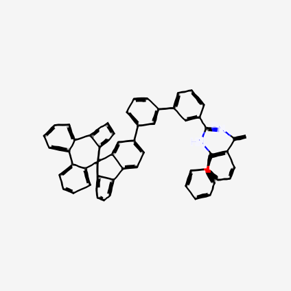 C=C(/N=C(\NC(C)c1ccccc1)c1cccc(-c2cccc(-c3ccc4c(c3)C3(c5ccccc5-c5ccccc5-c5ccccc53)c3ccccc3-4)c2)c1)c1ccccc1